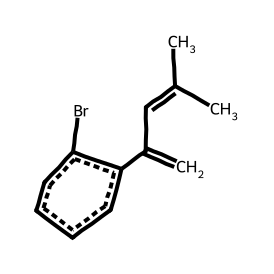 C=C(C=C(C)C)c1ccccc1Br